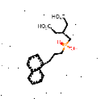 O=C(O)CC(CC(=O)O)CP(=O)(O)CCCc1cccc2ccccc12